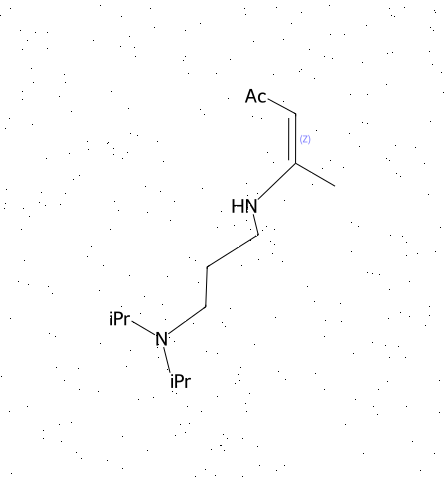 CC(=O)/C=C(/C)NCCCN(C(C)C)C(C)C